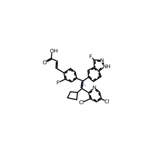 O=C(O)C=Cc1ccc(/C(=C(/c2ncc(Cl)cc2Cl)C2CCC2)c2ccc3[nH]nc(F)c3c2)cc1F